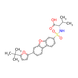 CC(C)[C@H](NS(=O)(=O)c1ccc2c(c1)oc1cc(-c3ccc(C(C)(C)C)o3)ccc12)C(=O)O